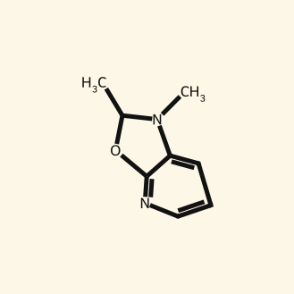 CC1Oc2ncccc2N1C